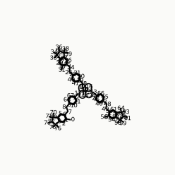 Cc1cc2c(cc1CCc1ccc(COP(=O)(OCc3ccc(CCc4cc5c(cc4C)C(C)(C)C(C)C5(C)C)cc3)OCc3ccc(CCc4cc5c(cc4C)C(C)(C)C(C)C5(C)C)cc3)cc1)C(C)(C)C(C)C2(C)C